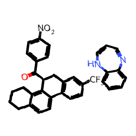 C1=CNc2ccccc2N=C1.O=C(c1ccc([N+](=O)[O-])cc1)C1Cc2cc(C(F)(F)F)ccc2-c2ccc3c(c21)CCCC3